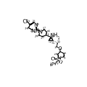 CC(C)S(=O)(=O)N1CC[C@@H](OCC[C@@H]2C[C@]2(N)C2CCN(C3=NC=C(Cl)CN3)CC2)C1